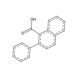 O=C(O)c1c(-c2ccccc2)ccc2ccccc12